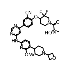 COc1nc(Nc2cc(-c3ccc(OC4CCN(C(=O)[C@@H](C)O)CC4(F)F)c(C#N)c3)ncn2)ccc1C1CCN(C2COC2)CC1